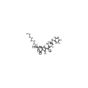 CCCCCCCCNc1nc2sc(C(=O)N3CCN(Cc4ccccc4)CC3)c(C)c2c(=O)o1